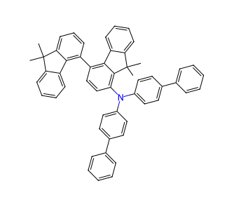 CC1(C)c2ccccc2-c2c(-c3ccc(N(c4ccc(-c5ccccc5)cc4)c4ccc(-c5ccccc5)cc4)c4c3-c3ccccc3C4(C)C)cccc21